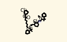 CC[N+]1=C(/C=C/C2=C(Cl)C(C=C=C3N(CCCCCC(=O)Oc4ccccc4)c4ccccc4C3(C)C)CCC2)C(C)(C)c2ccccc21.[Cl-]